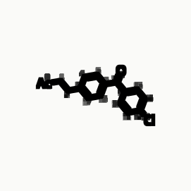 CC(=O)CCc1ccc(C(=O)c2ccc(Cl)cc2)cc1